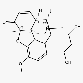 COC1=C2O[C@H]3C(=O)C=C[C@H]4[C@H]5CC(C=C1)C2[C@@]34CCN5C.OCCCO